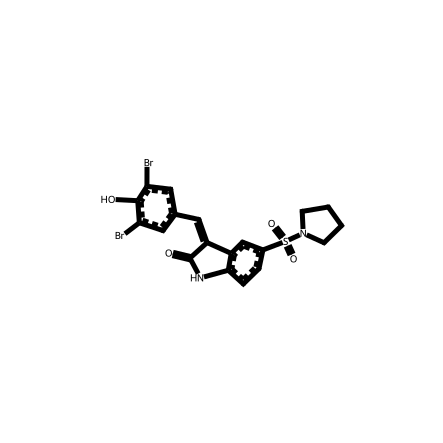 O=C1Nc2ccc(S(=O)(=O)N3CCCC3)cc2/C1=C/c1cc(Br)c(O)c(Br)c1